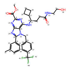 COC(=O)c1nc(N[C@H](CCC(=O)NCCO)C2CCC2)c2c(n1)nc(-c1cccc(C)c1)n2Cc1ccc(C(F)(F)F)cc1